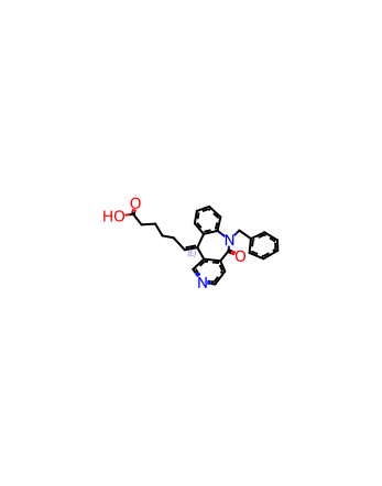 O=C(O)CCCC/C=C1/c2cnccc2C(=O)N(Cc2ccccc2)c2ccccc21